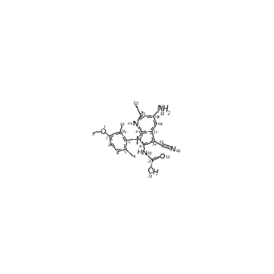 COc1ccc(C)c(-n2c(NC(=O)O)c(C#N)c3cc(N)c(C)nc32)c1C